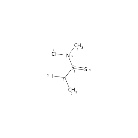 CC(I)S(=S)N(C)Cl